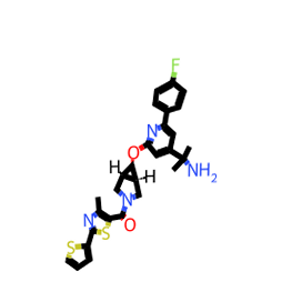 Cc1nc(-c2cccs2)sc1C(=O)N1C[C@@H]2[C@H](C1)[C@@H]2Oc1cc(C(C)(C)N)cc(-c2ccc(F)cc2)n1